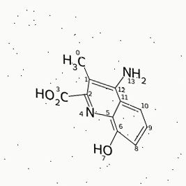 Cc1c(C(=O)O)nc2c(O)cccc2c1N